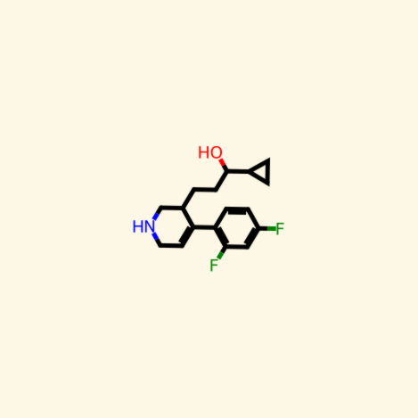 OC(CCC1CNCC=C1c1ccc(F)cc1F)C1CC1